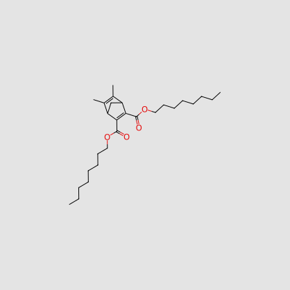 CCCCCCCCOC(=O)C1=C(C(=O)OCCCCCCCC)C2CC1C(C)=C2C